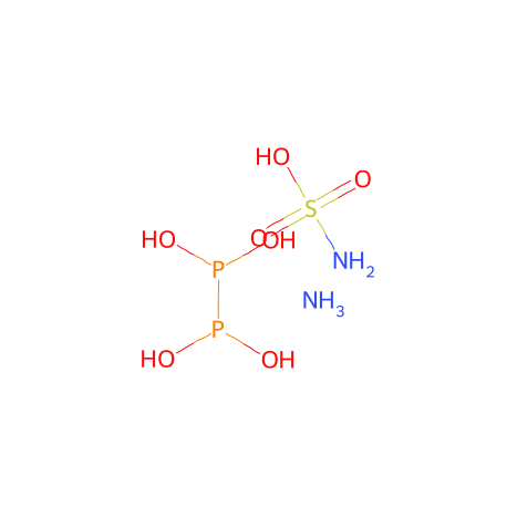 N.NS(=O)(=O)O.OP(O)P(O)O